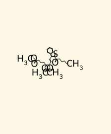 CCCCCC(=O)c1sc2ccccc2c1/C=C/[C@H]1OC(C)(C)O[C@H]1CCCC(=O)OC